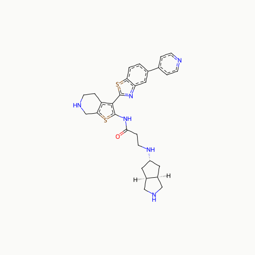 O=C(CCN[C@@H]1C[C@H]2CNC[C@H]2C1)Nc1sc2c(c1-c1nc3cc(-c4ccncc4)ccc3s1)CCNC2